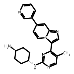 Cc1cnc(N[C@H]2CC[C@H](N)CC2)nc1-c1cnc2cc(-c3cccnc3)ccn12